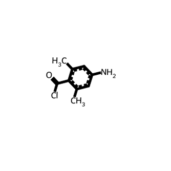 Cc1cc(N)cc(C)c1C(=O)Cl